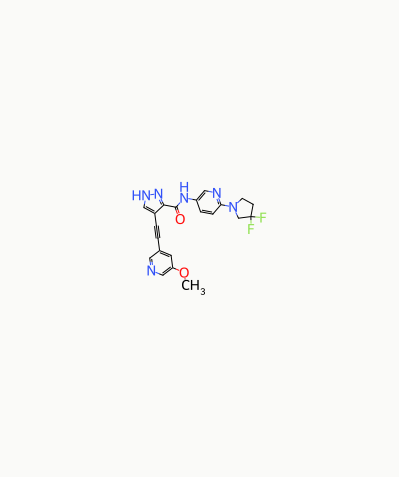 COc1cncc(C#Cc2c[nH]nc2C(=O)Nc2ccc(N3CCC(F)(F)C3)nc2)c1